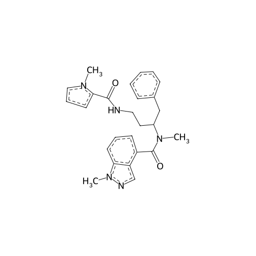 CN(C(=O)c1cccc2c1cnn2C)C(CCNC(=O)c1cccn1C)Cc1ccccc1